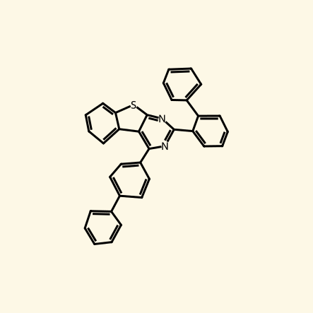 c1ccc(-c2ccc(-c3nc(-c4ccccc4-c4ccccc4)nc4sc5ccccc5c34)cc2)cc1